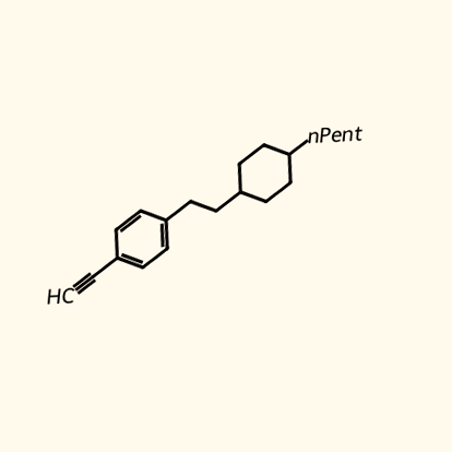 C#Cc1ccc(CCC2CCC(CCCCC)CC2)cc1